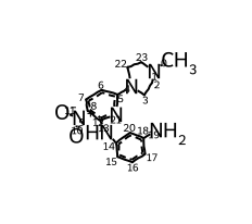 CN1CCN(c2ccc([N+](=O)[O-])c(Nc3cccc(N)c3)n2)CC1